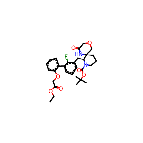 CCOC(=O)COc1ccccc1-c1cccc(C[C@@H]2N(C(=O)OC(C)(C)C)CCC[C@@]23COCC(=O)N3)c1F